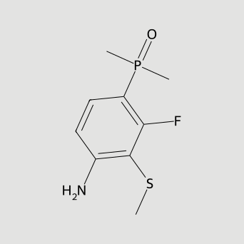 CSc1c(N)ccc(P(C)(C)=O)c1F